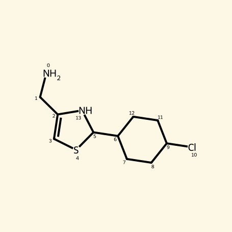 NCC1=CSC(C2CCC(Cl)CC2)N1